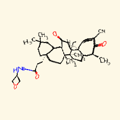 C[C@@H]1C(=O)C(C#N)=C[C@]2(C)C3=CC(=O)C4C5CC(C)(C)CC[C@]5(CCC(=O)NC5COC5)CC[C@@]4(C)[C@]3(C)CCC12